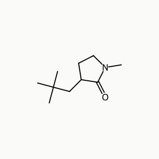 CN1CCC(CC(C)(C)C)C1=O